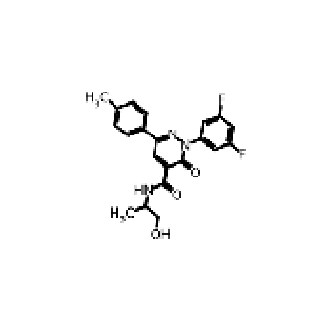 Cc1ccc(-c2cc(C(=O)NC(C)CO)c(=O)n(-c3cc(F)cc(F)c3)n2)cc1